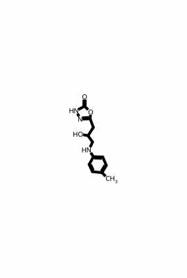 Cc1ccc(NCC(O)Cc2n[nH]c(=O)o2)cc1